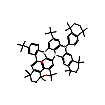 CC(C)(C)c1ccc2c(c1)B1c3cc4c(cc3N(c3ccc5c(c3)C(C)(C)CCC5(C)C)c3cc(C(C)(C)C)cc(c31)N2c1ccc(C(C)(C)C)cc1-c1ccc2c(c1)C(C)(C)CCC2(C)C)C(C)(C)CCC4(C)C